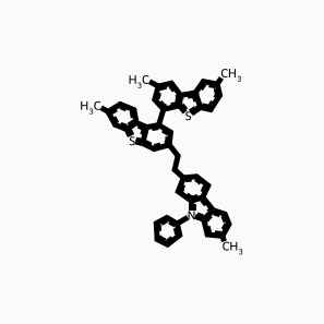 Cc1ccc2c(c1)sc1cc(CCc3ccc4c5ccc(C)cc5n(-c5ccccc5)c4c3)cc(-c3cc(C)cc4c3sc3ccc(C)cc34)c12